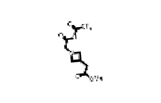 COC(=O)CC1CN(CC(=O)OC(=O)C(F)(F)F)C1